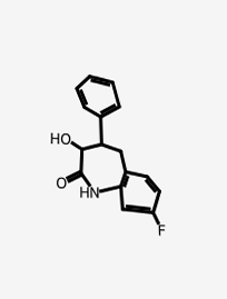 O=C1Nc2cc(F)ccc2CC(c2ccccc2)C1O